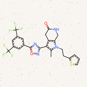 Cc1c(-c2noc(-c3cc(C(F)(F)F)cc(C(F)(F)F)c3)n2)c2c(n1CCc1cccs1)CNC(=O)C2